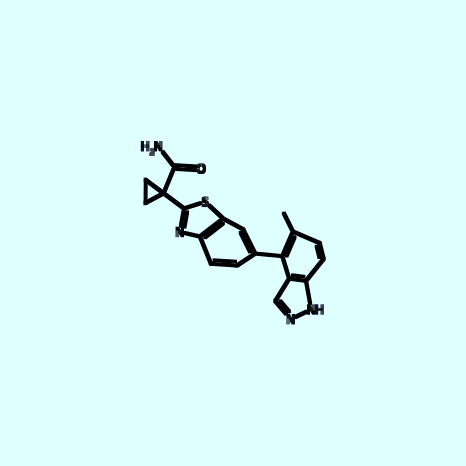 Cc1ccc2[nH]ncc2c1-c1ccc2nc(C3(C(N)=O)CC3)sc2c1